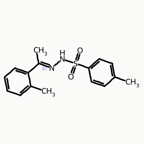 C/C(=N\NS(=O)(=O)c1ccc(C)cc1)c1ccccc1C